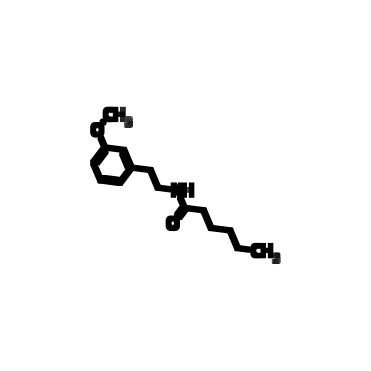 CCCCCC(=O)NCCc1cccc(OC)c1